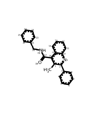 Cc1c(-c2ccccc2)nc2ccccc2c1C(=O)NCc1ccccc1